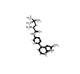 Cc1cc2c(-c3ccc(NC(=O)[C@H](N)CC(C)(C)C)cn3)ccnc2[nH]1